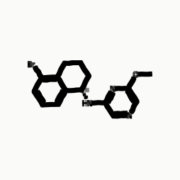 COc1cncc(N[C@H]2CCCc3c(Br)cccc32)n1